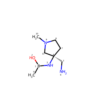 CB(O)N[C@]1(CN)CCN(C)C1